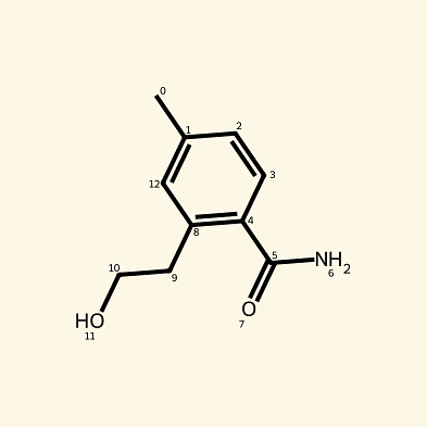 Cc1ccc(C(N)=O)c(CCO)c1